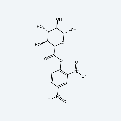 O=C(Oc1ccc([N+](=O)[O-])cc1[N+](=O)[O-])[C@H]1O[C@@H](O)[C@H](O)[C@@H](O)[C@@H]1O